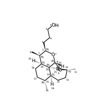 C[C@H]1[C@@H](CCCO)O[C@@H]2O[C@]3(C)CC[C@H]4[C@H](C)CC[C@@H]1[C@@]24OO3